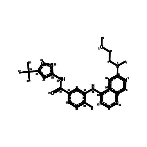 COCCN(C)c1ncc2ncnc(Nc3cc(C(=O)Nc4cc(C(C)(C)C)on4)ccc3C)c2n1